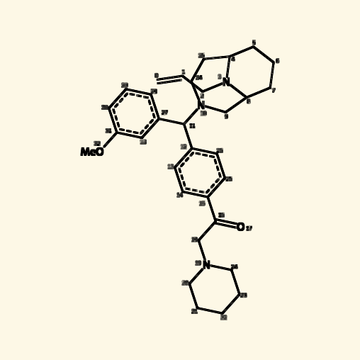 C=CCN1C2CCCC1CN(C(c1ccc(C(=O)CN3CCCCC3)cc1)c1cccc(OC)c1)CC2